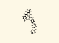 O=C(Nc1ccc(N2CCN(CC3CCOCC3)CC2)nc1)C(=O)c1c(-c2ccccc2)cc2ccc(F)cn12